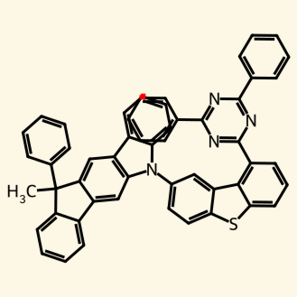 CC1(c2ccccc2)c2ccccc2-c2cc3c(cc21)c1ccccc1n3-c1ccc2sc3cccc(-c4nc(-c5ccccc5)nc(-c5ccccc5)n4)c3c2c1